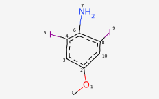 COc1cc(I)c(N)c(I)c1